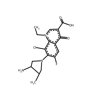 CCn1cc(C(=O)O)c(=O)c2cc(F)c(N3CC(C)C(N)C3)c(Cl)c21